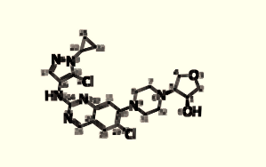 O[C@@H]1COC[C@@H]1N1CCN(c2cc3nc(Nc4cnn(C5CC5)c4Cl)ncc3cc2Cl)CC1